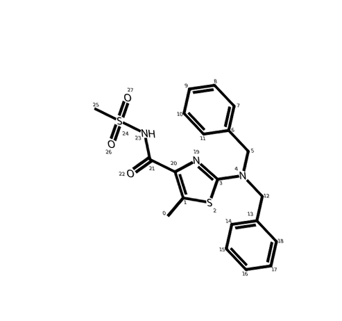 Cc1sc(N(Cc2ccccc2)Cc2ccccc2)nc1C(=O)NS(C)(=O)=O